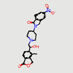 Cc1c(C(O)CN2CCC(N3Cc4cc([N+](=O)[O-])ccc4C3=O)CC2)ccc2c1COC2=O